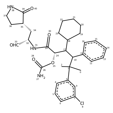 CC(C)(c1cccc(Cl)c1)C(c1ccccc1)C(C1CCCCC1)[C@H](OC(N)=O)C(=O)N[C@H](C=O)C[C@@H]1CCNC1=O